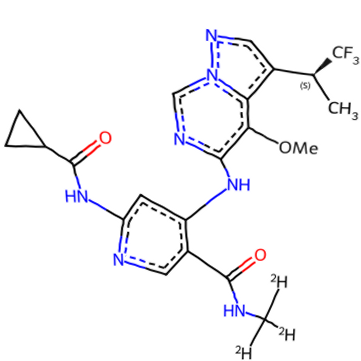 [2H]C([2H])([2H])NC(=O)c1cnc(NC(=O)C2CC2)cc1Nc1ncn2ncc([C@H](C)C(F)(F)F)c2c1OC